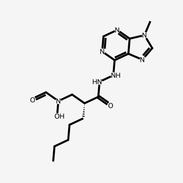 CCCCC[C@H](CN(O)C=O)C(=O)NNc1ncnc2c1ncn2C